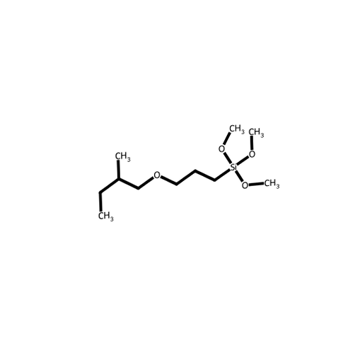 CCC(C)COCCC[Si](OC)(OC)OC